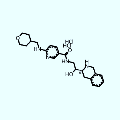 Cl.Cl.O=C(NCC(O)[C@@H]1Cc2ccccc2CN1)c1ccc(NCC2CCOCC2)nc1